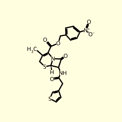 CC1=C(C(=O)OCc2ccc([N+](=O)[O-])cc2)N2C(=O)C(NC(=O)Cc3ccsc3)[C@@H]2SC1